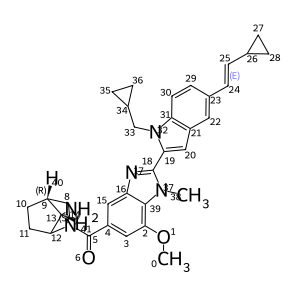 COc1cc(C(=O)N2C[C@H]3CCC2[C@H]3N)cc2nc(-c3cc4cc(/C=C/C5CC5)ccc4n3CC3CC3)n(C)c12